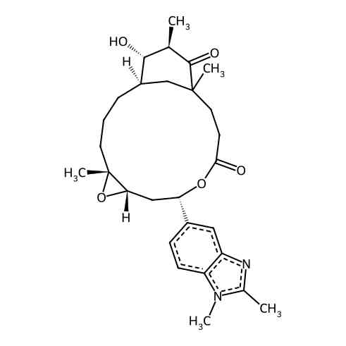 Cc1nc2cc([C@@H]3C[C@@H]4O[C@]4(C)CCC[C@@H]4CC(C)(CCC(=O)O3)C(=O)[C@H](C)[C@H]4O)ccc2n1C